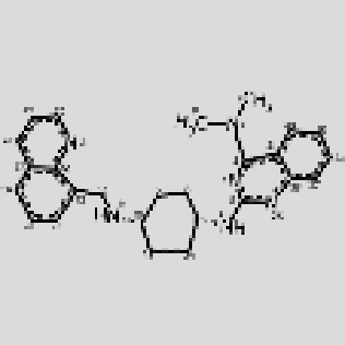 CN(C)c1nc(N[C@H]2CC[C@@H](NCc3cccc4cccnc34)CC2)nc2ccccc12